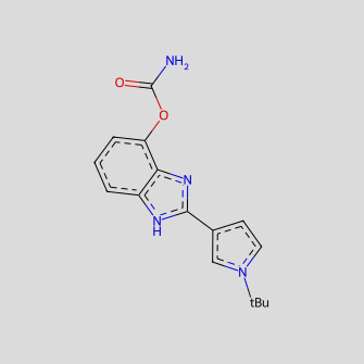 CC(C)(C)n1ccc(-c2nc3c(OC(N)=O)cccc3[nH]2)c1